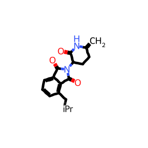 C=C1CCC(N2C(=O)c3cccc(CC(C)C)c3C2=O)C(=O)N1